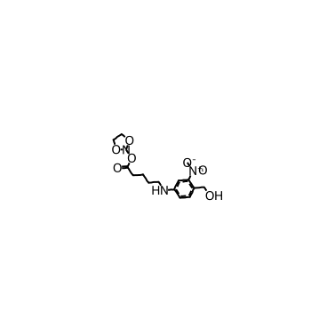 O=C(CCCCNc1ccc(CO)c([N+](=O)[O-])c1)ON1OCCO1